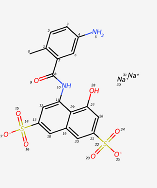 Cc1ccc(N)cc1C(=O)Nc1cc(S(=O)(=O)[O-])cc2cc(S(=O)(=O)[O-])cc(O)c12.[Na+].[Na+]